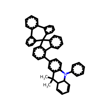 CC1(C)c2cc(-c3cccc4c3-c3ccccc3C43c4ccccc4-c4ccccc4-c4ccccc43)ccc2N(c2ccccc2)C2C=CC=CC21